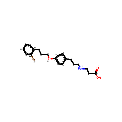 O=C(O)CCNCCCc1ccc(OCCCc2ccccc2Br)cc1